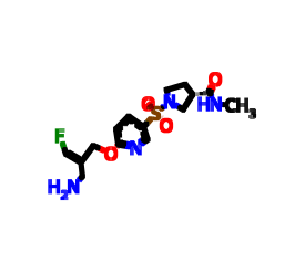 CNC(=O)[C@H]1CCN(S(=O)(=O)c2ccc(OC/C(=C\F)CN)nc2)C1